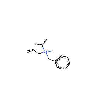 C=CC[N+](C)(Cc1ccccc1)C(C)C